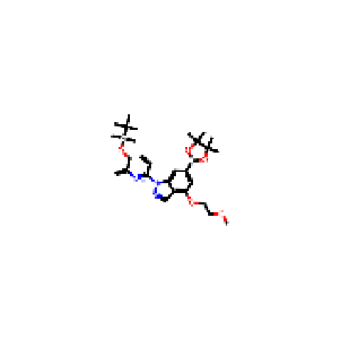 C=C/C(=N\C(=C)CO[Si](C)(C)C(C)(C)C)n1ncc2c(OCCOC)cc(B3OC(C)(C)C(C)(C)O3)cc21